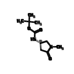 CN1C[C@@H](NC(=O)OC(C)(C)C)CC1=O